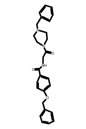 O=C(NCC(=O)N1CCN(Cc2ccccc2)CC1)c1ccc(OCc2ccccc2)cc1